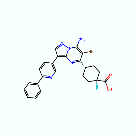 Nc1c(Br)c([C@H]2CC[C@@](F)(C(=O)O)CC2)nc2c(-c3ccc(-c4ccccc4)nc3)cnn12